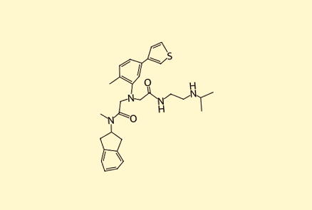 Cc1ccc(-c2ccsc2)cc1N(CC(=O)NCCNC(C)C)CC(=O)N(C)C1Cc2ccccc2C1